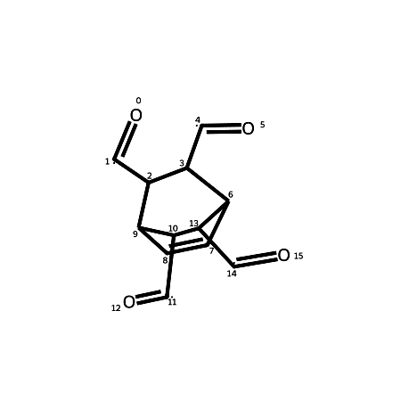 O=[C]C1C([C]=O)C2C=CC1C([C]=O)C2[C]=O